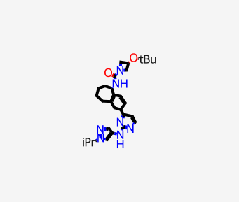 CC(C)n1cc(Nc2nccc(C3C=CC4=C(CCCCC4NC(=O)N4CC(OC(C)(C)C)C4)C3)n2)cn1